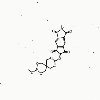 COP1OCC2(CO1)COP(On1c(=O)c3cc4c(=O)n(C)c(=O)c4cc3c1=O)OC2